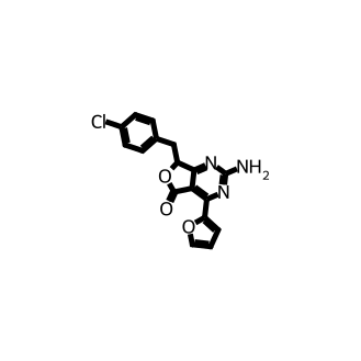 Nc1nc(-c2ccco2)c2c(n1)C(Cc1ccc(Cl)cc1)OC2=O